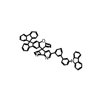 c1cc(-c2cccc(-n3c4ccccc4c4ccccc43)c2)cc(-c2cnc3c(c2)C2(c4ccccc4Oc4cc5c(cc42)-c2ccccc2C52c4ccccc4-c4ccccc42)c2cccnc2-3)c1